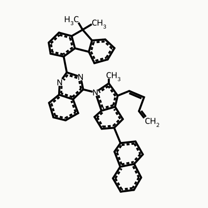 C=C/C=C\c1c(C)n(-c2nc(-c3cccc4c3-c3ccccc3C4(C)C)nc3ccccc23)c2ccc(-c3ccc4ccccc4c3)cc12